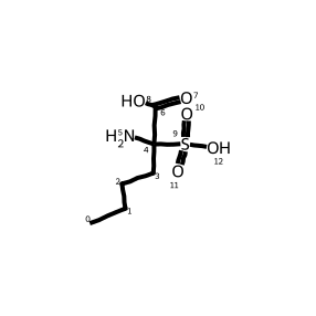 CCCCC(N)(C(=O)O)S(=O)(=O)O